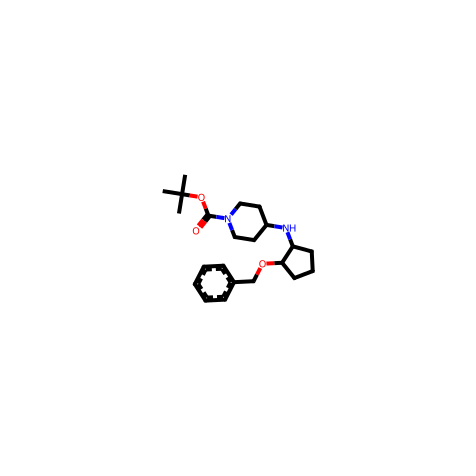 CC(C)(C)OC(=O)N1CCC(NC2CCCC2OCc2ccccc2)CC1